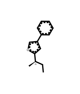 CC[C@@H](C)c1cc(-c2ccccc2)co1